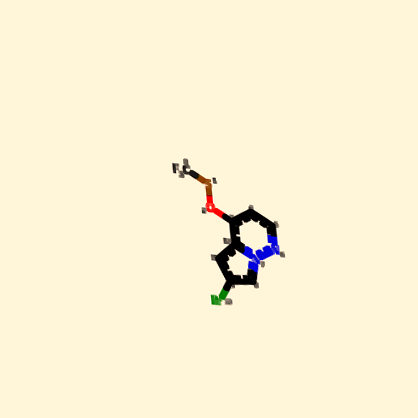 FC(F)(F)SOc1ccnn2cc(Br)cc12